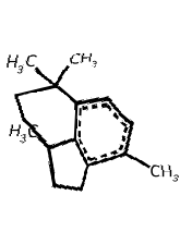 Cc1ccc2c3c1CCC3(C)CCC2(C)C